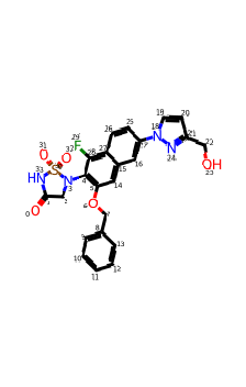 O=C1CN(c2c(OCc3ccccc3)cc3cc(-n4ccc(CO)n4)ccc3c2F)S(=O)(=O)N1